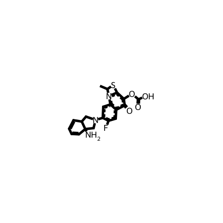 CC1Sc2c(OC(=O)O)c(=O)c3cc(F)c(N4CC5C=CC=CC5(N)C4)cc3n21